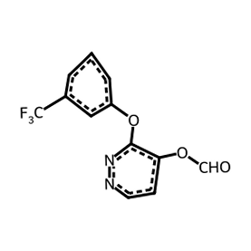 O=COc1ccnnc1Oc1cccc(C(F)(F)F)c1